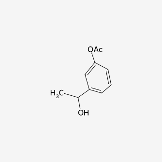 CC(=O)Oc1cccc(C(C)O)c1